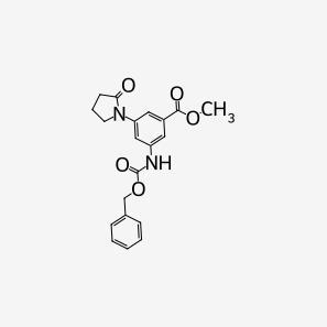 COC(=O)c1cc(NC(=O)OCc2ccccc2)cc(N2CCCC2=O)c1